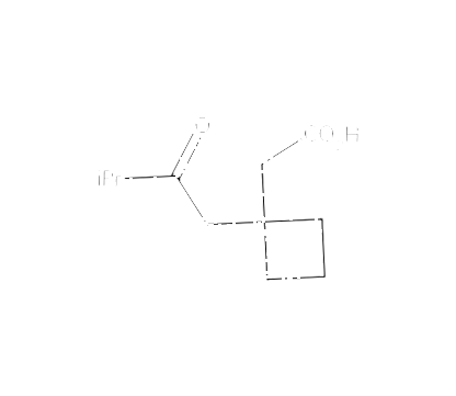 CC(C)C(=O)CC1(CC(=O)O)CCC1